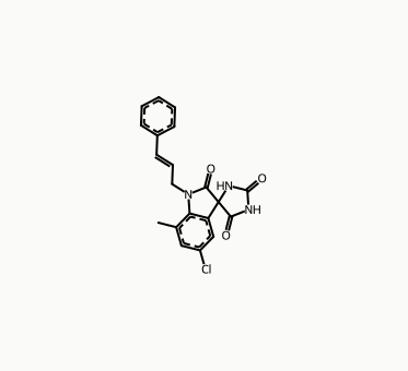 Cc1cc(Cl)cc2c1N(C/C=C/c1ccccc1)C(=O)C21NC(=O)NC1=O